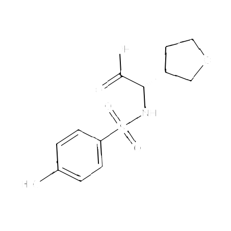 Cc1ccc(S(=O)(=O)NC(C(=O)O)[C@@H]2CCOC2)cc1